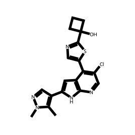 Cc1c(-c2cc3c(-c4cnc(C5(O)CCC5)s4)c(Cl)cnc3[nH]2)cnn1C